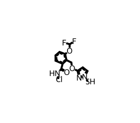 O=C(NCl)c1cccc(OC(F)F)c1COc1ccn(S)n1